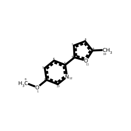 COc1ccc(-c2ccc(C)o2)nc1